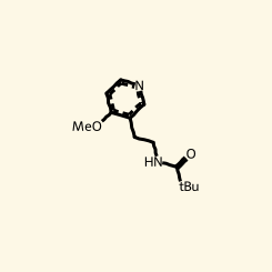 COc1ccncc1CCNC(=O)C(C)(C)C